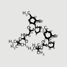 Cc1ccc(N2CCCN2C(=O)CNC(=O)OC(C)(C)C)c(Br)c1.Cc1ccc(N2CCCN2C(=O)OC(C)(C)C)c(Br)c1